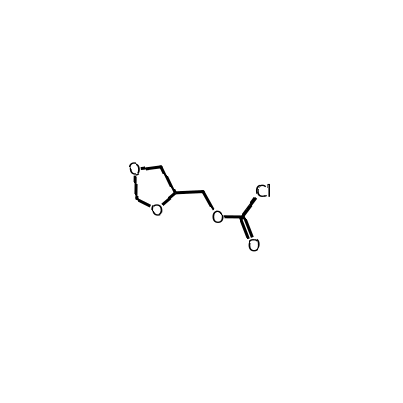 O=C(Cl)OCC1COCO1